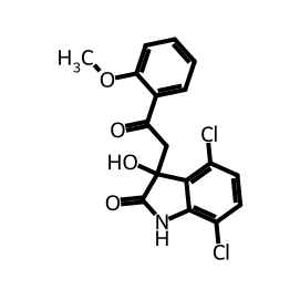 COc1ccccc1C(=O)CC1(O)C(=O)Nc2c(Cl)ccc(Cl)c21